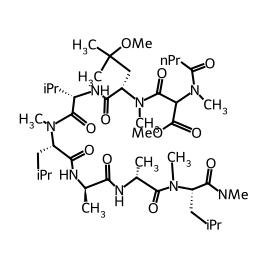 CCCC(=O)N(C)C(C(=O)OC)C(=O)N(C)[C@@H](CC(C)(C)OC)C(=O)N[C@H](C(=O)N(C)[C@@H](CC(C)C)C(=O)N[C@H](C)C(=O)N[C@H](C)C(=O)N(C)[C@@H](CC(C)C)C(=O)NC)C(C)C